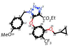 CCOC(=O)c1nnn(Cc2ccc(OC)cc2)c1Oc1ccc(C(F)(F)F)c(OCC2CC2)c1